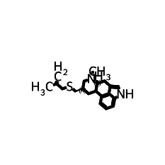 C=C(C)CSC[C@@H]1CC2c3cccc4[nH]cc(c34)C[C@H]2N(C)C1